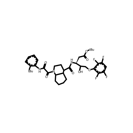 CC(C)(C)OC(=O)C[C@H](NC(=O)C1CCN(C(=O)C(=O)Nc2ccccc2C(C)(C)C)C2CCCCC12)C(O)COc1c(F)c(F)cc(F)c1F